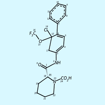 O=C(NC1=CC=C(c2ccccc2)C(Cl)(OC(F)(F)F)C1)[C@H]1CCCCN1C(=O)O